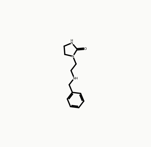 O=C1NCCN1CCNCc1ccccc1